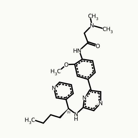 CCCC[C@H](Nc1cncc(-c2ccc(NC(=O)CN(C)C)c(OC)c2)n1)c1cccnc1